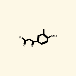 COc1ccc(C(=O)CC(=O)C(C)C)cc1C